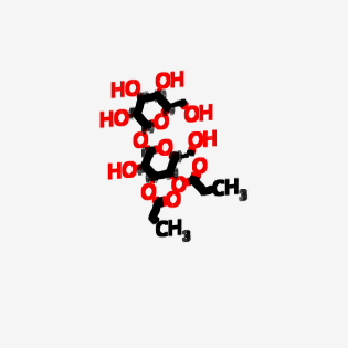 CCC(=O)O[C@@H]1[C@@H](O)[C@@H](O[C@H]2O[C@H](CO)[C@@H](O)[C@H](O)[C@H]2O)O[C@H](CO)[C@H]1OC(=O)CC